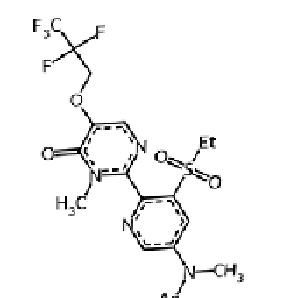 CCS(=O)(=O)c1cc(N(C)C(C)=O)cnc1-c1ncc(OCC(F)(F)C(F)(F)F)c(=O)n1C